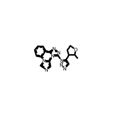 CC1OCCC1c1cnnn1-c1nnc2c3ccccc3n3cncc3n12